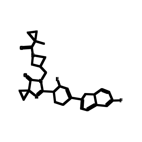 CC1(C(=O)N2CC(CN3C(=O)C4(CC4)N=C3C3CCC(C4=CC=C5C=C(F)C=CC5C4)=CC3F)C2)CC1